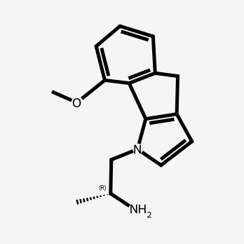 COc1cccc2c1-c1c(ccn1C[C@@H](C)N)C2